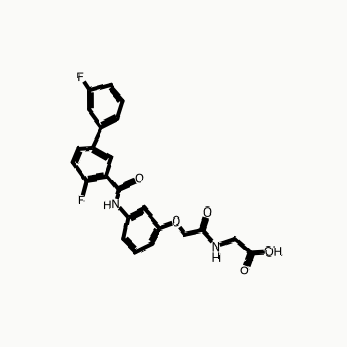 O=C(O)CNC(=O)COc1cccc(NC(=O)c2cc(-c3cccc(F)c3)ccc2F)c1